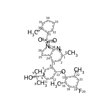 Cc1cc(-c2cc(C(C)(C)O)ccc2Oc2c(C)cc(F)cc2C)c2ccn(S(=O)(=O)c3ccccc3C)c2n1